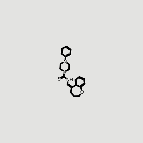 S=C(N/C=C1/CCCOc2ccccc21)N1CCN(c2ccccc2)CC1